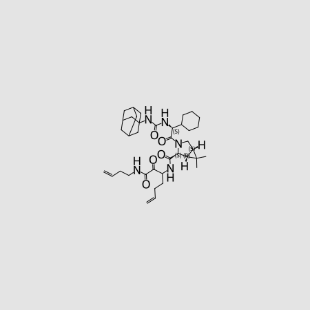 C=CCCNC(=O)C(=O)C(CCC=C)NC(=O)[C@@H]1[C@@H]2[C@H](CN1C(=O)[C@@H](NC(=O)NC13CC4CC(CC(C4)C1)C3)C1CCCCC1)C2(C)C